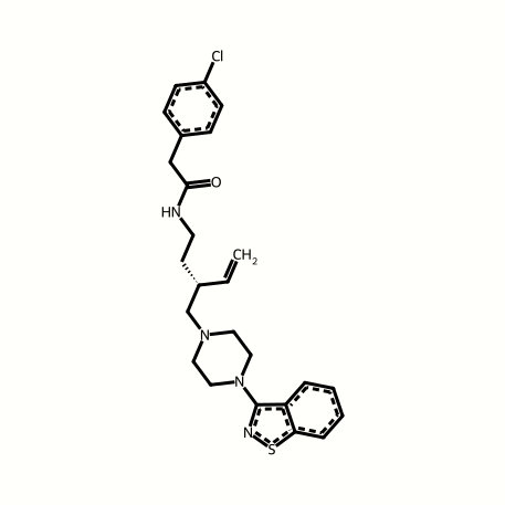 C=C[C@@H](CCNC(=O)Cc1ccc(Cl)cc1)CN1CCN(c2nsc3ccccc23)CC1